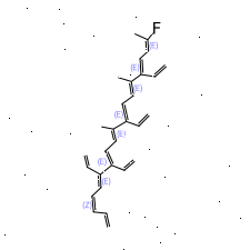 C=C\C=C/C=C(C=C)/C(C=C)=C/C=C(C)/C(C=C)=C/C=C(C)/C(C=C)=C/C=C(\C)F